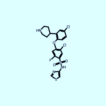 O=S(=O)(Nc1cscn1)c1cc(Cl)c(Oc2ccc(Cl)cc2C2CCNCC2)cc1F